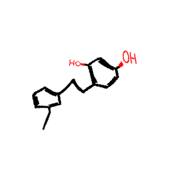 Cc1cccc(CCc2ccc(O)cc2O)c1